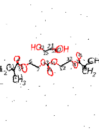 C=C(C)C(=O)OCCOC(=O)OCCOC(=O)C(=C)C.OCCO